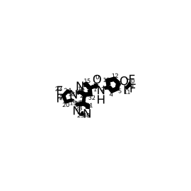 O=C(Nc1ccc(OC(F)(F)I)cc1)c1cnc(N2CCC(F)(F)C2)c(-c2cncnc2)c1